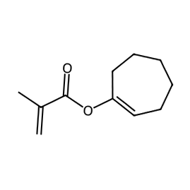 C=C(C)C(=O)OC1=CCCCCC1